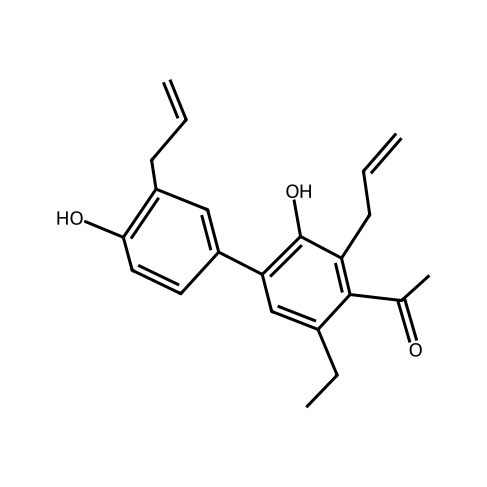 C=CCc1cc(-c2cc(CC)c(C(C)=O)c(CC=C)c2O)ccc1O